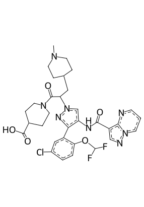 CN1CCC(CC(C(=O)N2CCC(C(=O)O)CC2)n2cc(NC(=O)c3cnn4cccnc34)c(-c3cc(Cl)ccc3OC(F)F)n2)CC1